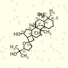 CC(C)(O)[C@@H]1CC[C@@]2(C[C@]34CC[C@]5(C)[C@@H](C[C@H](O)[C@H]6C(C)(C)[C@H](I)CC[C@@]65C)[C@]3(C)C[C@H](O)C24)O1